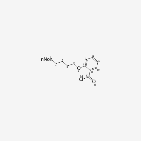 CCCCCCCCCCCCCOc1ccccc1C(=O)Cl